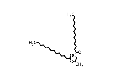 [CH2][C@H](COC(=O)CCCCCCCCCCCCC)OC(=O)CCCCCCCCCCCCC